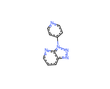 c1cnc2c(c1)nnn2-c1ccncc1